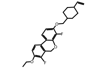 C=CC1CCC(COc2ccc3c(c2F)OCc2c-3ccc(OCC)c2F)CC1